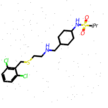 CC(C)S(=O)(=O)NC1CCC(CNCCSCc2c(Cl)cccc2Cl)CC1